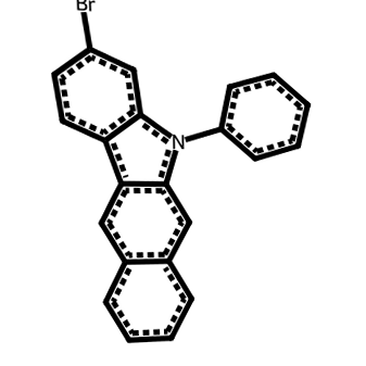 Brc1ccc2c3cc4ccccc4cc3n(-c3ccccc3)c2c1